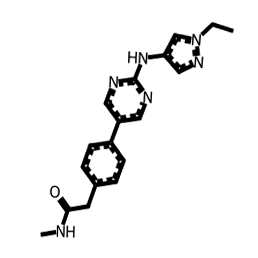 CCn1cc(Nc2ncc(-c3ccc(CC(=O)NC)cc3)cn2)cn1